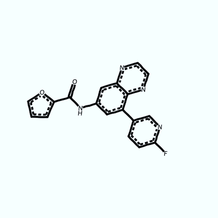 O=C(Nc1cc(-c2ccc(F)nc2)c2nccnc2c1)c1ccco1